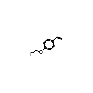 C=Cc1ccc(OCF)cc1